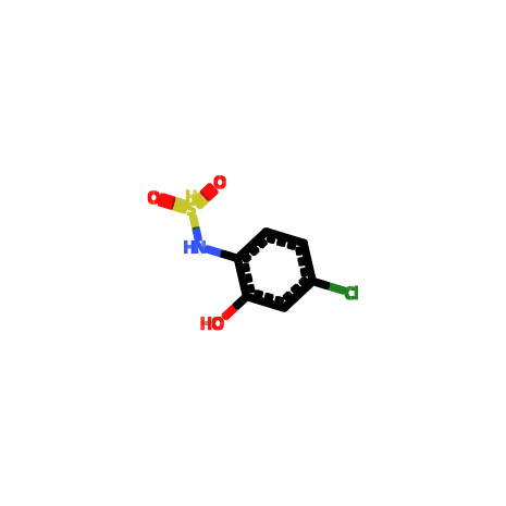 O=[SH](=O)Nc1ccc(Cl)cc1O